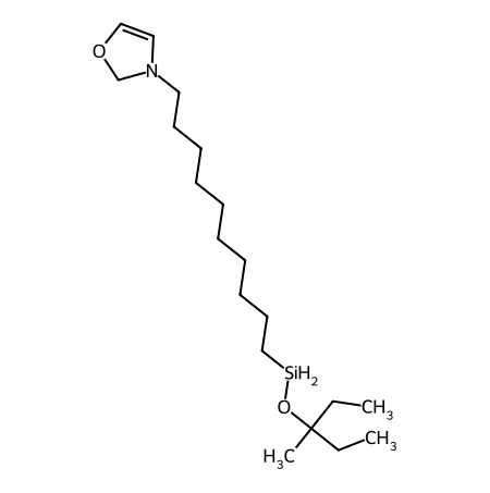 CCC(C)(CC)O[SiH2]CCCCCCCCCCN1C=COC1